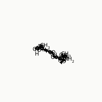 CC(C)n1nc(-c2noc(C3CC3)c2-c2ncc(C3CCN(C(=O)COC(=O)N4CCC(N5CC6(CN(c7ccc8c(N9CCC(=O)NC9=O)nn(C)c8c7F)C6)C5)CC4)CC3)cn2)c2c(N)ncnc21